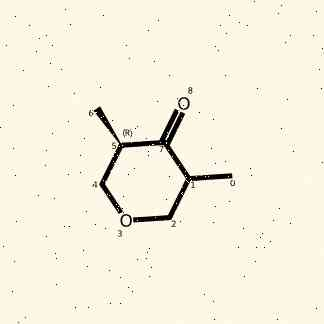 CC1COC[C@@H](C)C1=O